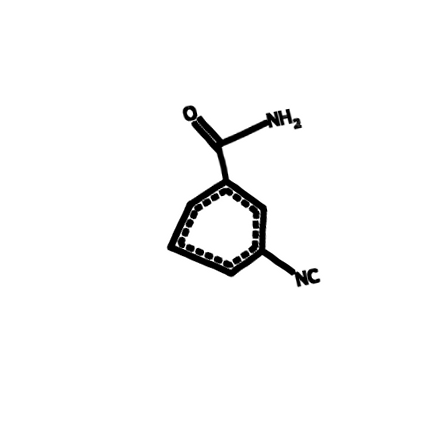 [C-]#[N+]c1cccc(C(N)=O)c1